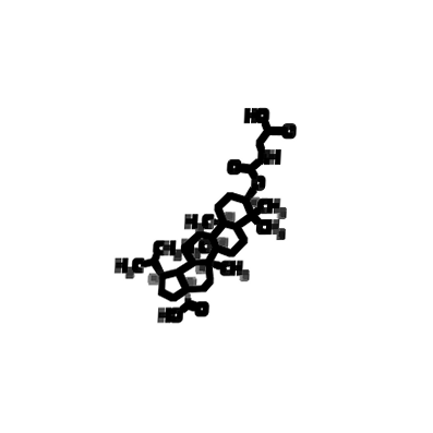 CC(C)[C@@H]1CC[C@]2(C(=O)O)CC[C@]3(C)C(CCC4[C@@]5(C)CC[C@@H](OC(=O)NCC(=O)O)C(C)(C)C5CC[C@]43C)C12